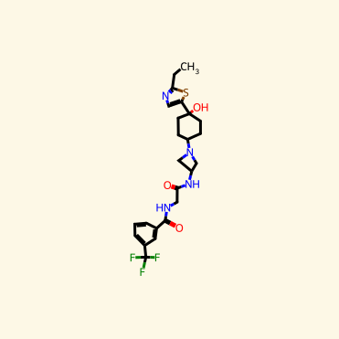 CCc1ncc(C2(O)CCC(N3CC(NC(=O)CNC(=O)c4cccc(C(F)(F)F)c4)C3)CC2)s1